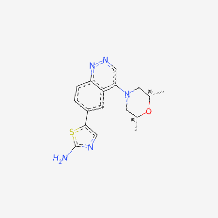 C[C@@H]1CN(c2cnnc3ccc(-c4cnc(N)s4)cc23)C[C@H](C)O1